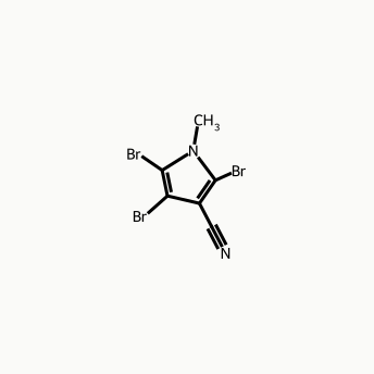 Cn1c(Br)c(Br)c(C#N)c1Br